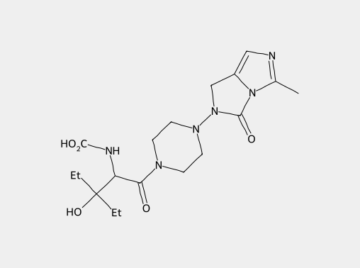 CCC(O)(CC)C(NC(=O)O)C(=O)N1CCN(N2Cc3cnc(C)n3C2=O)CC1